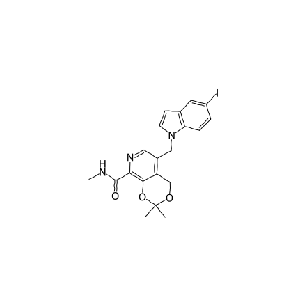 CNC(=O)c1ncc(Cn2ccc3cc(I)ccc32)c2c1OC(C)(C)OC2